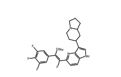 COC(=C(F)c1ccc2[nH]cc(C3CCN4CCCC4C3)c2n1)c1cc(F)c(F)c(F)c1